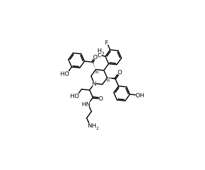 Cc1c(F)cccc1C1[C@@H](C(=O)c2cccc(O)c2)CN(C(CO)C(=O)NCCN)C[C@@H]1C(=O)c1cccc(O)c1